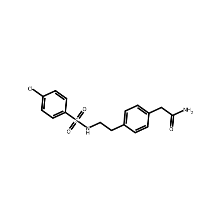 NC(=O)Cc1ccc(CCNS(=O)(=O)c2ccc(Cl)cc2)cc1